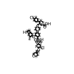 O=C(NS(=O)(=O)c1cnc(OCC2(F)CCOCC2)c(Cl)c1)c1ccc(N2CCN(CC3=C(c4ccc(Cl)cc4)CCN(C(=O)O)C3)CC2)cc1Oc1cc2cc[nH]c2cc1F